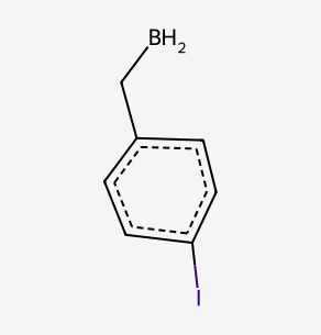 BCc1ccc(I)cc1